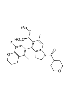 Cc1cc2c(c(-c3cc(F)c4c(c3C)CCCO4)c1[C@H](OC(C)(C)C)C(=O)O)CCN2C(=O)C1CCOCC1